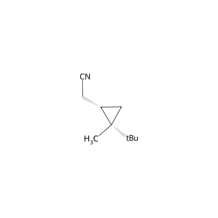 CC(C)(C)[C@@]1(C)C[C@H]1CC#N